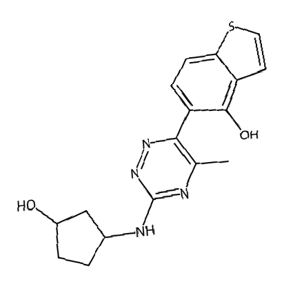 Cc1nc(NC2CCC(O)C2)nnc1-c1ccc2sccc2c1O